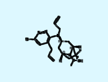 C=CCc1cc(Cl)nnc1N(CC=C)[C@@H]1C[C@H]2CC(F)(F)[C@@H](C1)N2B(C)O